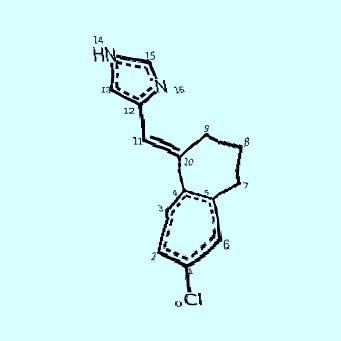 Clc1ccc2c(c1)CCC/C2=C\c1c[nH]cn1